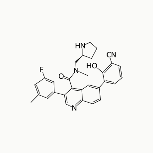 Cc1cc(F)cc(-c2cnc3ccc(-c4cccc(C#N)c4O)cc3c2C(=O)N(C)C[C@@H]2CCCN2)c1